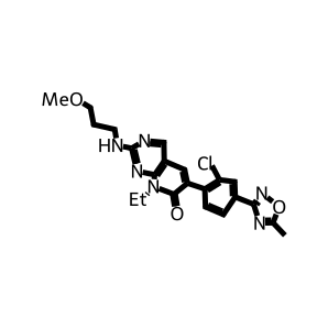 CCn1c(=O)c(-c2ccc(-c3noc(C)n3)cc2Cl)cc2cnc(NCCCOC)nc21